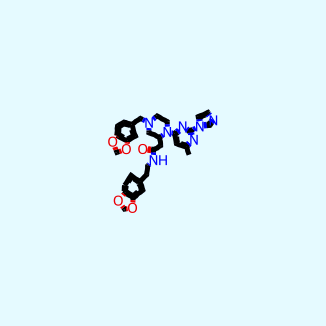 Cc1cc(N2CCN(Cc3ccc4c(c3)OCO4)CC2CC(=O)NCCc2ccc3c(c2)OCO3)nc(-n2ccnc2)n1